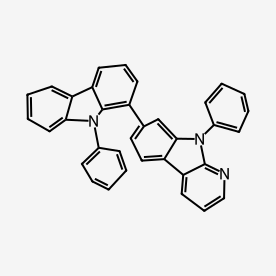 c1ccc(-n2c3cc(-c4cccc5c6ccccc6n(-c6ccccc6)c45)ccc3c3cccnc32)cc1